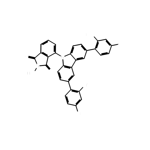 Cc1cc(C(F)(F)F)ccc1-c1ccc2c(c1)c1cc(-c3ccc(C(F)(F)F)cc3C(F)(F)F)ccc1n2-c1cccc2c1C(=O)N(C)C2=O